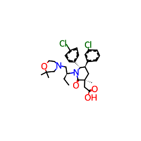 CC[C@@H](CN1CCOC(C)(C)C1)N1C(=O)[C@](C)(CC(=O)O)C[C@H](c2cccc(Cl)c2)[C@H]1c1ccc(Cl)cc1